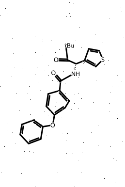 CC(C)(C)C(=O)[C@@H](NC(=O)c1ccc(Oc2ccccc2)cc1)c1ccsc1